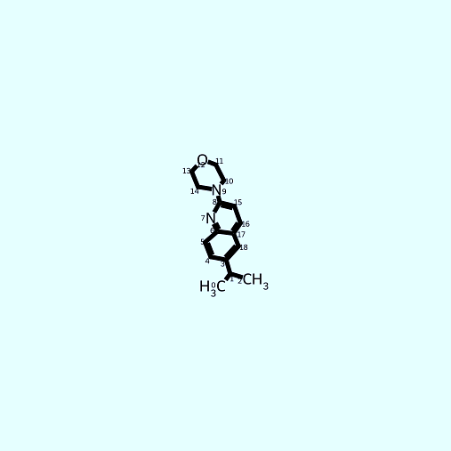 CC(C)c1ccc2nc(N3CCOCC3)ccc2c1